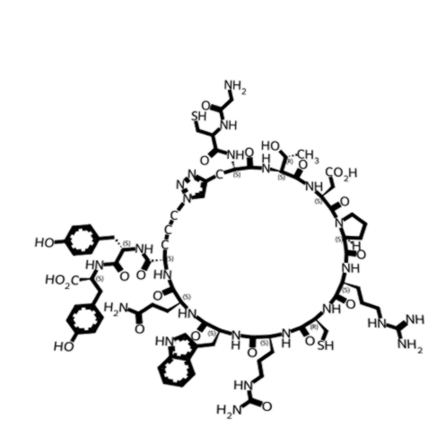 C[C@@H](O)[C@@H]1NC(=O)[C@@H](NC(=O)C(CS)NC(=O)CN)Cc2cn(nn2)CCC[C@@H](C(=O)N[C@@H](Cc2ccc(O)cc2)C(=O)N[C@@H](Cc2ccc(O)cc2)C(=O)O)NC(=O)[C@H](CCC(N)=O)NC(=O)[C@H](Cc2c[nH]c3ccccc23)NC(=O)[C@H](CCCNC(N)=O)NC(=O)[C@H](CS)NC(=O)[C@H](CCCNC(=N)N)NC(=O)[C@@H]2CCCN2C(=O)[C@H](CC(=O)O)NC1=O